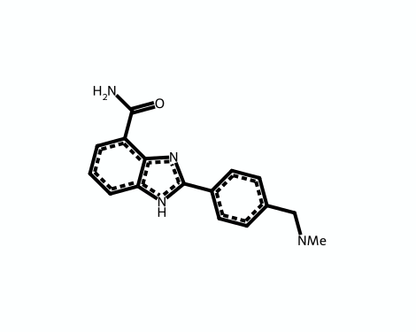 CNCc1ccc(-c2nc3c(C(N)=O)cccc3[nH]2)cc1